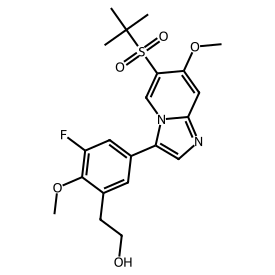 COc1cc2ncc(-c3cc(F)c(OC)c(CCO)c3)n2cc1S(=O)(=O)C(C)(C)C